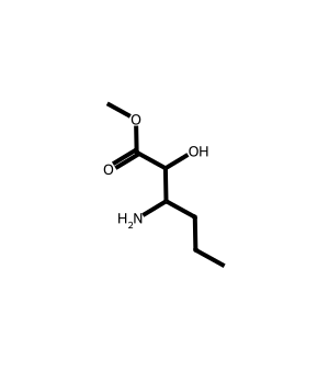 CCCC(N)C(O)C(=O)OC